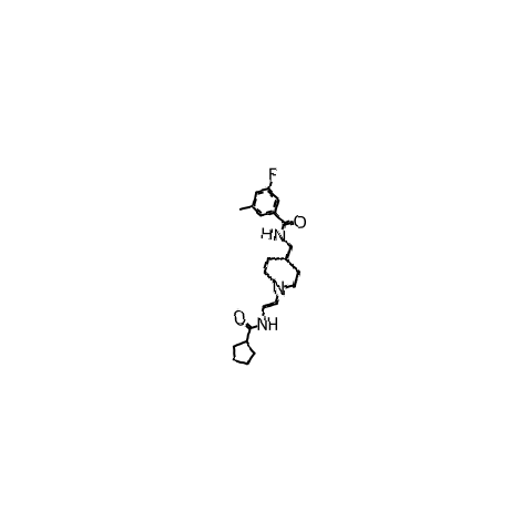 Cc1cc(F)cc(C(=O)NCC2CCN(CCNC(=O)C3CCCC3)CC2)c1